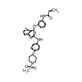 C=CC(=O)Nc1cccc(Oc2nc(Nc3ccc(N4CCN(S(C)(=O)=O)CC4)cc3)nc3ccsc23)c1